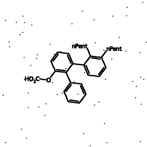 CCCCCc1cccc(-c2cccc(OC(=O)O)c2-c2ccccc2)c1CCCCC